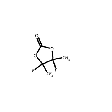 CC1(F)OC(=O)OC1(F)C(F)(F)F